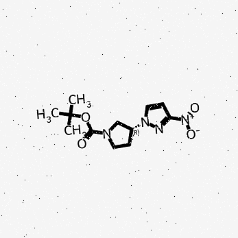 CC(C)(C)OC(=O)N1CC[C@@H](n2ccc([N+](=O)[O-])n2)C1